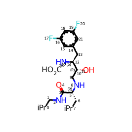 CC(C)CNC(=O)[C@@H](CC(C)C)NC[C@@H](O)[C@H](Cc1cc(F)cc(F)c1)NC(=O)O